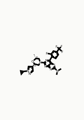 C[C@@H]1CN(c2nc(-c3ccc(C(F)(F)F)cc3F)c3sc(N(C)C)nc3n2)C[C@@H](c2cnn(C3CC3)c2)O1